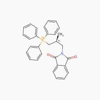 C[C@@H](CN1C(=O)c2ccccc2C1=O)C[PH](c1ccccc1)(c1ccccc1)c1ccccc1